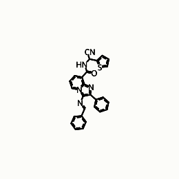 N#CC(NC(=O)c1cccn2c(N=Cc3ccccc3)c(-c3ccccc3)nc12)c1cccs1